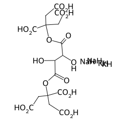 O=C(O)CC(CC(=O)O)(OC(=O)C(O)C(O)C(=O)OC(CC(=O)O)(CC(=O)O)C(=O)O)C(=O)O.[KH].[KH].[NaH].[NaH]